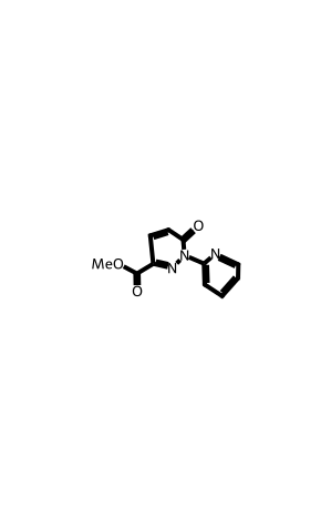 COC(=O)c1ccc(=O)n(-c2ccccn2)n1